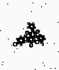 Cn1c(=O)cc(Nc2ccc(Cl)cc2)c2c(=O)n(C3CCCC3)c(=O)n(-c3ccccc3)c21